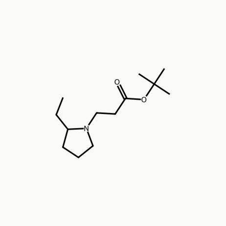 CCC1CCCN1CCC(=O)OC(C)(C)C